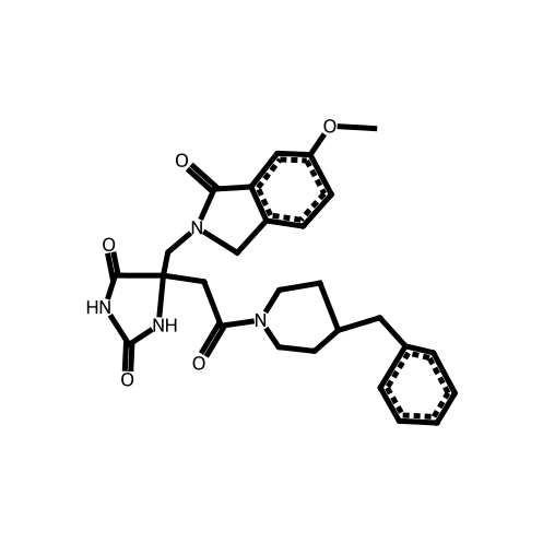 COc1ccc2c(c1)C(=O)N(CC1(CC(=O)N3CCC(Cc4ccccc4)CC3)NC(=O)NC1=O)C2